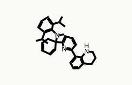 CC(C)c1cccc(C(C)C)c1N(C)C1(c2cccc(-c3cccc4c3NCCC4)n2)C=CC=CC1